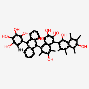 Bc1c(O)c(O)c(O)c(O)c1-c1c2ccccc2c(-c2c(C)c(O)c(C)c3c(-c4c(C)c(C)c5c(C)c(O)c(C)c(C)c5c4O)c(O)c(O)c(O)c23)c2ccccc12